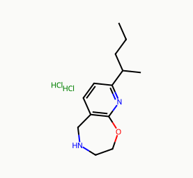 CCCC(C)c1ccc2c(n1)OCCNC2.Cl.Cl